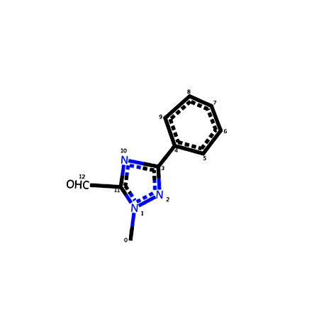 Cn1nc(-c2ccccc2)nc1C=O